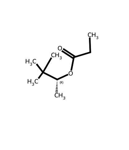 CCC(=O)O[C@H](C)C(C)(C)C